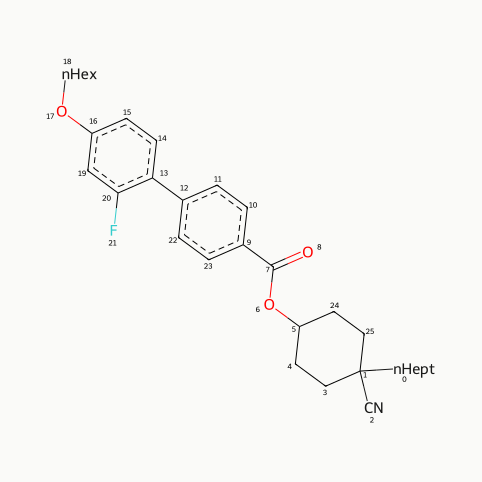 CCCCCCCC1(C#N)CCC(OC(=O)c2ccc(-c3ccc(OCCCCCC)cc3F)cc2)CC1